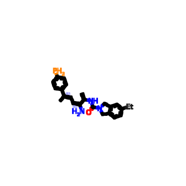 C=C(NC(=O)N1Cc2ccc(CC)cc2C1)/C(N)=C\C=C(/C)c1ccc(P)cc1